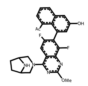 COc1nc(N2CC3CCC(C2)N3)c2cc(F)c(-c3cc(O)cc4cccc(C(C)=O)c34)c(F)c2n1